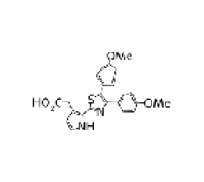 COc1ccc(-c2nc(-c3[nH]ccc3CC(=O)O)sc2-c2ccc(OC)cc2)cc1